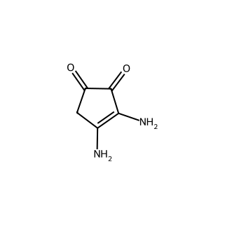 NC1=C(N)C(=O)C(=O)C1